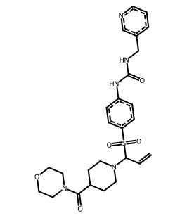 C=CC(N1CCC(C(=O)N2CCOCC2)CC1)S(=O)(=O)c1ccc(NC(=O)NCc2cccnc2)cc1